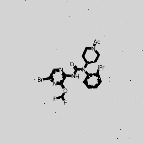 CC(=O)N1CCC(N(C(=O)Nc2ncc(Br)nc2OC(F)F)c2ccccc2C(C)C)CC1